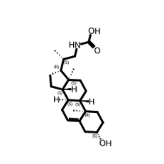 C[C@H](CNC(=O)O)[C@H]1CC[C@H]2[C@@H]3CC=C4C[C@@H](O)CC[C@]4(C)[C@H]3CC[C@]12C